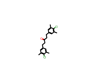 Cc1cc(CCC(=O)CCc2cc(C)c(Cl)c(C)c2)cc(C)c1Cl